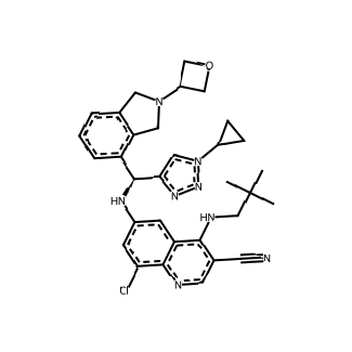 CC(C)(C)CNc1c(C#N)cnc2c(Cl)cc(N[C@H](c3cn(C4CC4)nn3)c3cccc4c3CN(C3COC3)C4)cc12